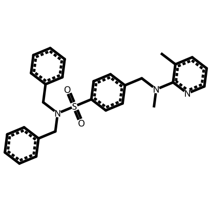 Cc1cccnc1N(C)Cc1ccc(S(=O)(=O)N(Cc2ccccc2)Cc2ccccc2)cc1